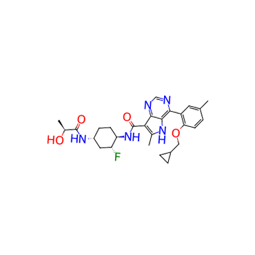 Cc1ccc(OCC2CC2)c(-c2ncnc3c(C(=O)N[C@@H]4CC[C@@H](NC(=O)[C@H](C)O)C[C@H]4F)c(C)[nH]c23)c1